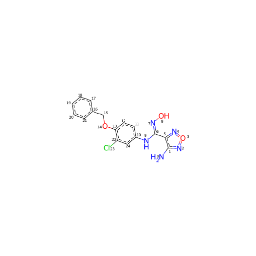 Nc1nonc1/C(=N\O)Nc1ccc(OCc2ccccc2)c(Cl)c1